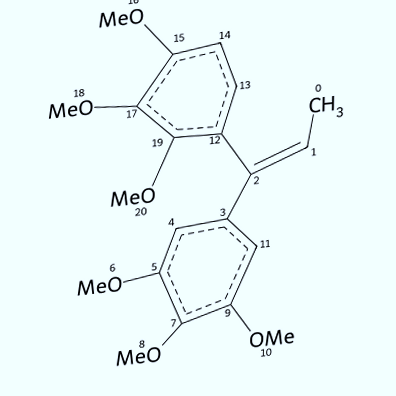 CC=C(c1cc(OC)c(OC)c(OC)c1)c1ccc(OC)c(OC)c1OC